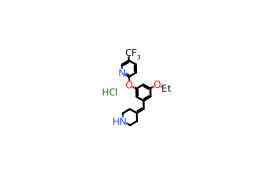 CCOc1cc(C=C2CCNCC2)cc(Oc2ccc(C(F)(F)F)cn2)c1.Cl